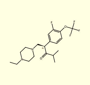 CCN1CCN(C[C@H](C(=O)C(C)C)c2ccc(OC(F)(F)F)c(F)c2)CC1